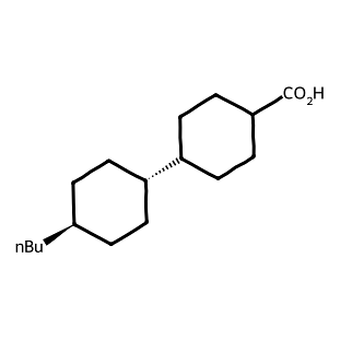 CCCC[C@H]1CC[C@H](C2CCC(C(=O)O)CC2)CC1